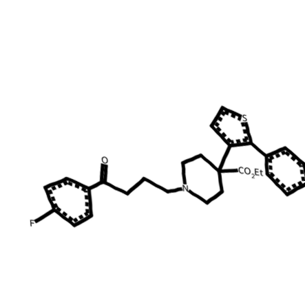 CCOC(=O)C1(c2ccsc2-c2ccccc2)CCN(CCCC(=O)c2ccc(F)cc2)CC1